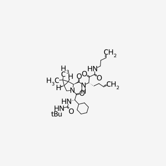 C=CCCNC(=O)C(=O)[C@H](CCC=C)NC(=O)[C@@H]1[C@@H]2[C@H](CN1C(=O)[C@@H](NC(=O)NC(C)(C)C)C1CCCCC1)C2(C)C